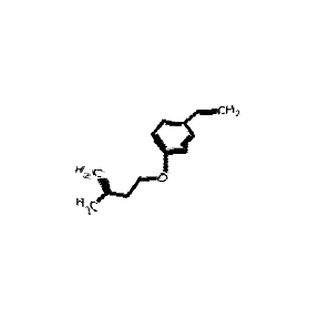 C=Cc1ccc(OCCC(=C)C)cc1